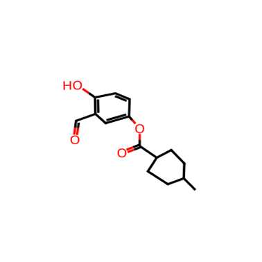 CC1CCC(C(=O)Oc2ccc(O)c(C=O)c2)CC1